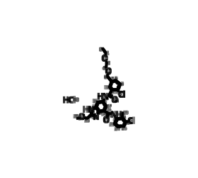 CCOCCOCc1ccc(Cl)c(C(=O)Nc2cc(C(=O)Nc3cccc(Cl)c3C)c3nc(COC)[nH]c3c2)c1.Cl